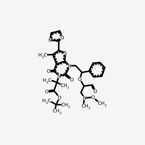 CON(C)CC(C=O)OC(Cn1c(=O)n(C(C)(C)C(=O)OC(C)(C)C)c(=O)c2c(C)c(-c3ncco3)sc21)c1ccccc1